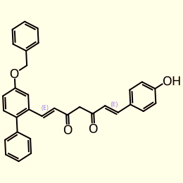 O=C(/C=C/c1ccc(O)cc1)CC(=O)/C=C/c1cc(OCc2ccccc2)ccc1-c1ccccc1